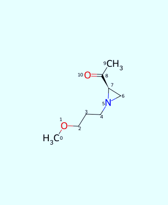 COCCCN1C[C@@H]1C(C)=O